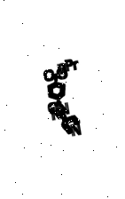 CCCOC(=O)[C@H]1CC[C@H](c2nc(-c3ccncc3)no2)CC1